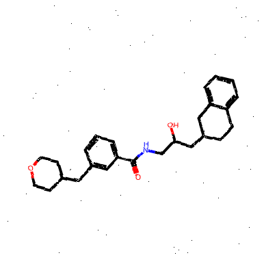 O=C(NCC(O)CC1CCc2ccccc2C1)c1cccc(CC2CCOCC2)c1